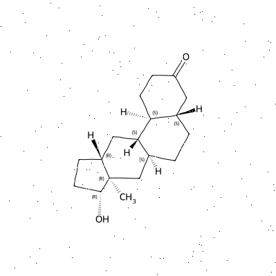 C[C@@]12C[C@@H]3CC[C@H]4CC(=O)CC[C@@H]4[C@H]3C[C@H]1CC[C@H]2O